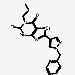 CCCN1C(=O)c2[nH]c(-c3cnn(Cc4ccccc4)c3)nc2NC1Cl